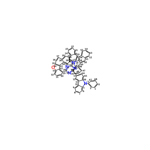 c1ccc(-n2c3ccccc3c3cc(-c4nc(-c5ccc6ccccc6c5)nc(-c5cccc6oc7ccc8ccc(-n9c%10ccccc%10c%10cc%11ccccc%11cc%109)cc8c7c56)n4)ccc32)cc1